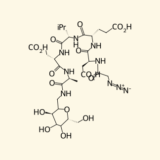 CC(C)[C@H](NC(=O)[C@H](CCC(=O)O)NC(=O)[C@H](CC(=O)O)NC(=O)CN=[N+]=[N-])C(=O)N[C@@H](CC(=O)O)C(=O)N[C@@H](C)C(=O)NCC1O[C@H](CO)C(O)C(O)[C@H]1O